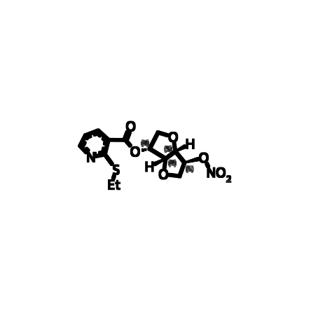 CCSc1ncccc1C(=O)O[C@@H]1CO[C@H]2[C@@H]1OC[C@@H]2O[N+](=O)[O-]